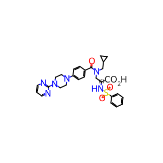 O=C(O)[C@H](CN(CC1CC1)C(=O)c1ccc(N2CCN(c3ncccn3)CC2)cc1)NS(=O)(=O)c1ccccc1